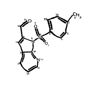 Cc1ccc(S(=O)(=O)n2c(C=O)cc3cccnc32)cc1